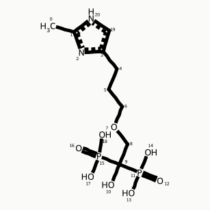 Cc1nc(CCCOCC(O)(P(=O)(O)O)P(=O)(O)O)c[nH]1